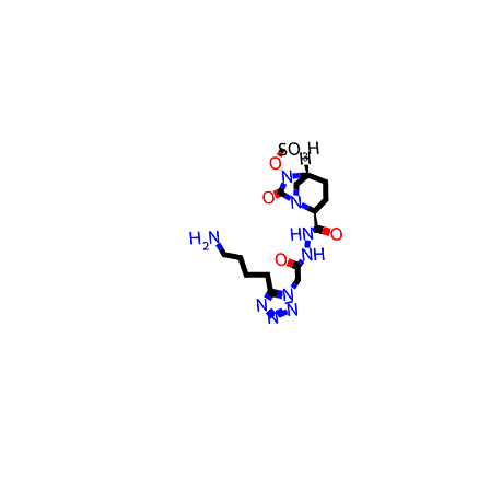 NCCCCc1nnnn1CC(=O)NNC(=O)[C@@H]1CC[C@@H]2CN1C(=O)N2OS(=O)(=O)O